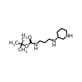 CC(C)(C)OC(=O)NCCCN[C@H]1CCCNC1